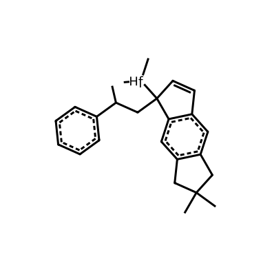 CC(C[C]1([Hf]([CH3])[CH3])C=Cc2cc3c(cc21)CC(C)(C)C3)c1ccccc1